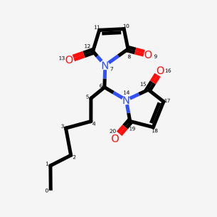 CCCCCCC(N1C(=O)C=CC1=O)N1C(=O)C=CC1=O